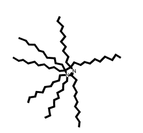 CCCCCCCCCCC1=NC(CCCCCCCCCC)(CCCCCCCCCC)C(CCCCCCCCCC)(CCCCCCCCCC)[N+]1(CCCCCCCCCC)CCCCCCCCCC